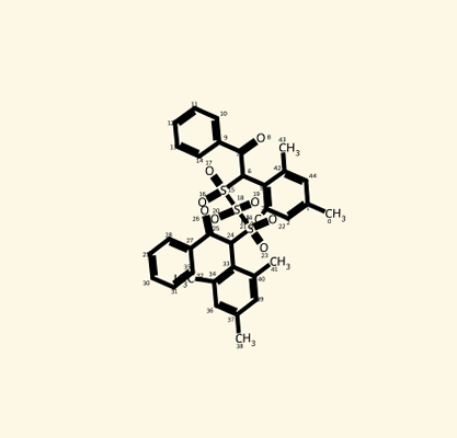 Cc1cc(C)c(C(C(=O)c2ccccc2)S(=O)(=O)S(=O)(=O)S(=O)(=O)C(C(=O)c2ccccc2)c2c(C)cc(C)cc2C)c(C)c1